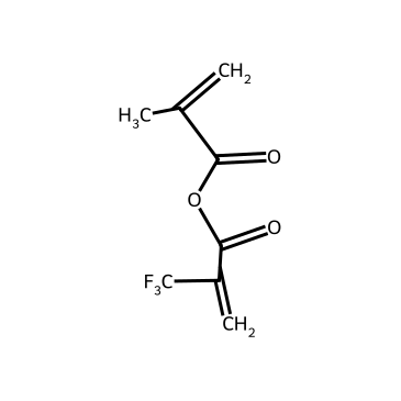 C=C(C)C(=O)OC(=O)C(=C)C(F)(F)F